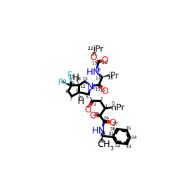 CCCC(CC(=O)[C@@H]1[C@H]2CCC(F)(F)[C@H]2CN1C(=O)[C@@H](NC(=O)OC(C)C)C(C)C)C(=O)C(=O)N[C@H](C)c1ccccc1